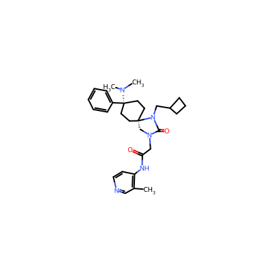 Cc1cnccc1NC(=O)CN1C[C@]2(CC[C@@](c3ccccc3)(N(C)C)CC2)N(CC2CCC2)C1=O